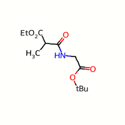 CCOC(=O)C(C)C(=O)NCC(=O)OC(C)(C)C